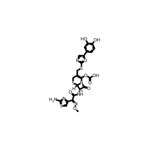 CON=C(C(=O)N[C@@H]1C(=O)N2C(OC(=O)O)=C(CSc3ncc(-c4ccc(O)c(O)c4)o3)CS[C@@H]12)c1csc(N)n1